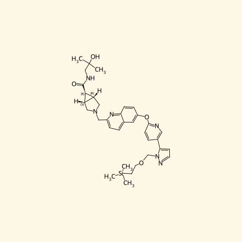 CC(C)(O)CNC(=O)[C@H]1[C@@H]2CN(Cc3ccc4cc(Oc5ccc(-c6ccnn6COCC[Si](C)(C)C)cn5)ccc4n3)C[C@@H]21